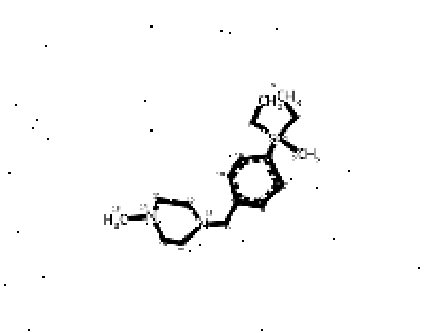 CC[Si](C)(CC)c1ccc(CN2CCN(C)CC2)cc1